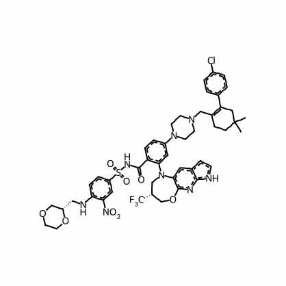 CC1(C)CCC(CN2CCN(c3ccc(C(=O)NS(=O)(=O)c4ccc(NC[C@H]5COCCO5)c([N+](=O)[O-])c4)c(N4C[C@@H](C(F)(F)F)COc5nc6[nH]ccc6cc54)c3)CC2)=C(c2ccc(Cl)cc2)C1